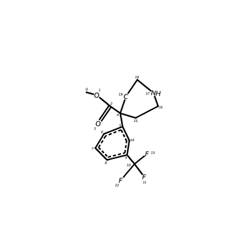 COC(=O)C1(c2cccc(C(F)(F)F)c2)CCNCC1